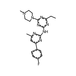 CCc1nc(Nc2nc(C)cc(-c3ccc(F)cc3)n2)nc(N2CCN(C)CC2)n1